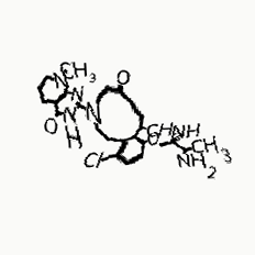 CC(N)C(=N)COc1ccc(Cl)c2c1C(C)CCC(=O)CCN(c1nc3c(c(=O)[nH]1)CCCN3C)CC2